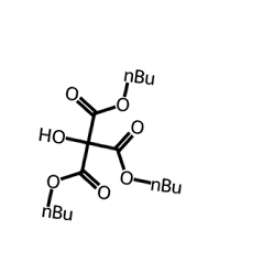 CCCCOC(=O)C(O)(C(=O)OCCCC)C(=O)OCCCC